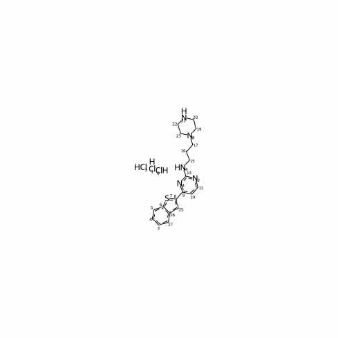 Cl.Cl.Cl.c1ccc2sc(-c3ccnc(NCCCN4CCNCC4)n3)cc2c1